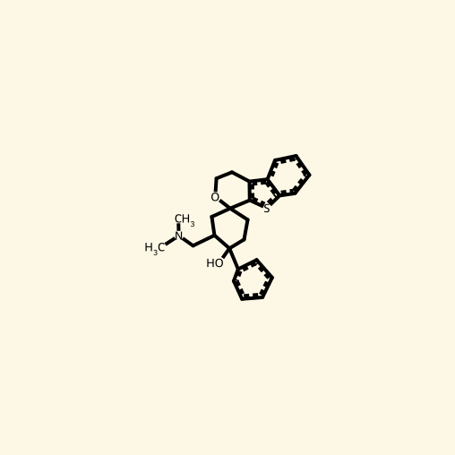 CN(C)CC1CC2(CCC1(O)c1ccccc1)OCCc1c2sc2ccccc12